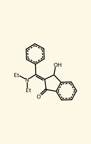 CCN(CC)C(=C1C(=O)c2ccccc2C1O)c1ccccc1